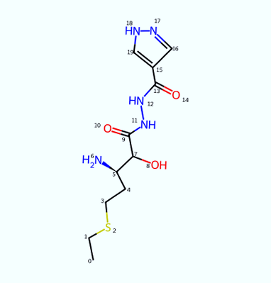 CCSCC[C@@H](N)C(O)C(=O)NNC(=O)c1cn[nH]c1